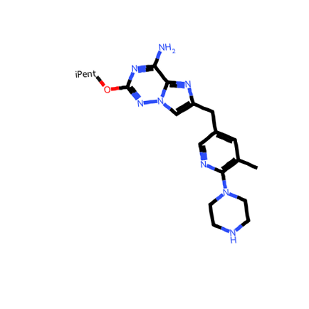 CCCC(C)Oc1nc(N)c2nc(Cc3cnc(N4CCNCC4)c(C)c3)cn2n1